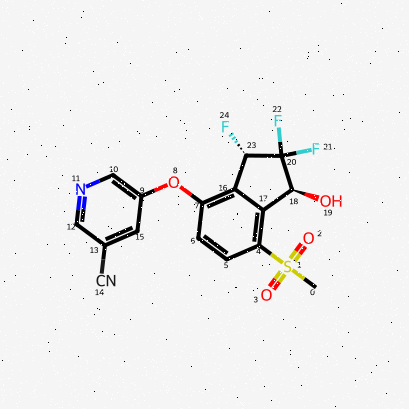 CS(=O)(=O)c1ccc(Oc2cncc(C#N)c2)c2c1[C@H](O)C(F)(F)[C@H]2F